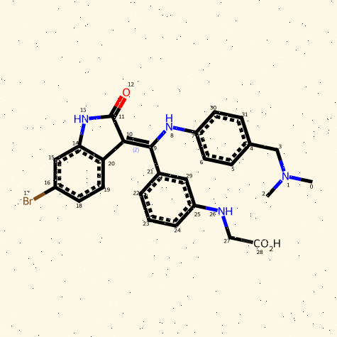 CN(C)Cc1ccc(N/C(=C2\C(=O)Nc3cc(Br)ccc32)c2cccc(NCC(=O)O)c2)cc1